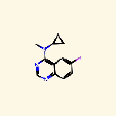 CN(c1ncnc2ccc(I)cc12)C1CC1